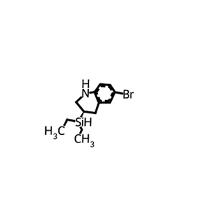 CC[SiH](CC)[C@H]1CNc2ccc(Br)cc2C1